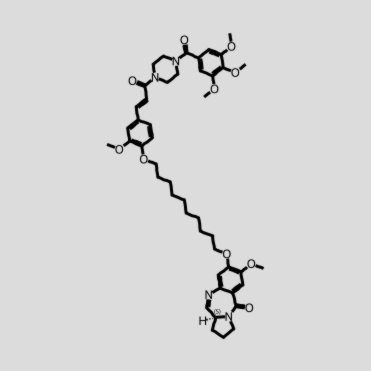 COc1cc(C=CC(=O)N2CCN(C(=O)c3cc(OC)c(OC)c(OC)c3)CC2)ccc1OCCCCCCCCCCOc1cc2c(cc1OC)C(=O)N1CCC[C@H]1C=N2